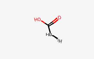 [2H]BC(=O)O